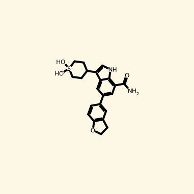 NC(=O)c1cc(-c2ccc3c(c2)CCO3)cc2c(C3CCS(O)(O)CC3)c[nH]c12